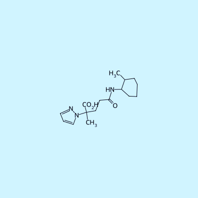 CC1CCCCC1NC(=O)CCC(C)(C(=O)O)n1cccn1